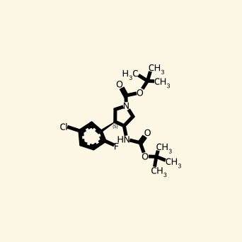 CC(C)(C)OC(=O)NC1CN(C(=O)OC(C)(C)C)C[C@@H]1c1cc(Cl)ccc1F